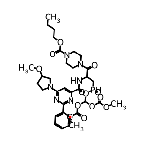 CCCCOC(=O)N1CCN(C(=O)C(C[PH](=O)OC(OC(=O)OC)OC(=O)OC)NC(=O)c2cc(N3CCC(OC)C3)nc(-c3ccccc3)n2)CC1